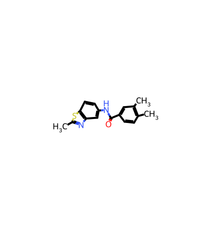 Cc1nc2cc(NC(=O)c3ccc(C)c(C)c3)ccc2s1